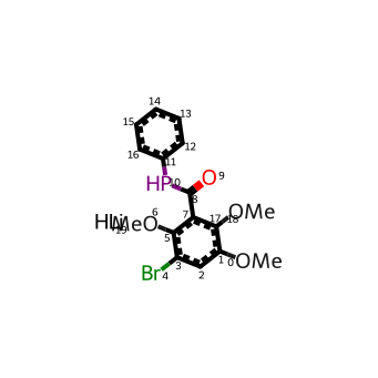 COc1cc(Br)c(OC)c(C(=O)Pc2ccccc2)c1OC.[LiH]